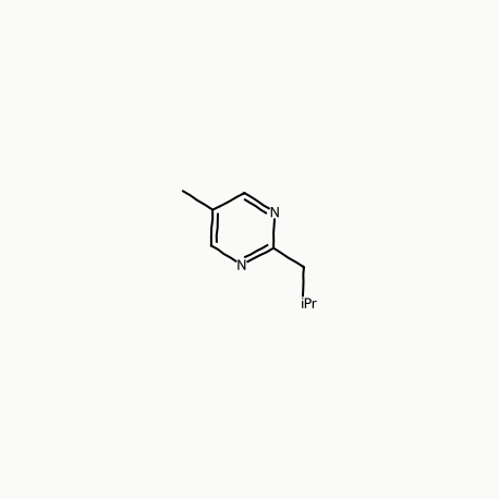 Cc1cnc(CC(C)C)nc1